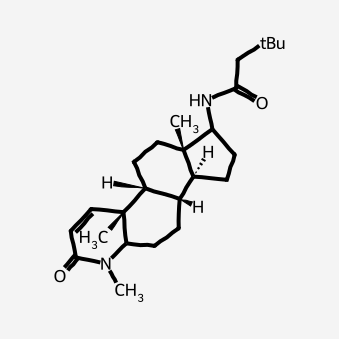 CN1C(=O)C=C[C@@]2(C)C1CC[C@@H]1[C@H]2CC[C@]2(C)C(NC(=O)CC(C)(C)C)CC[C@@H]12